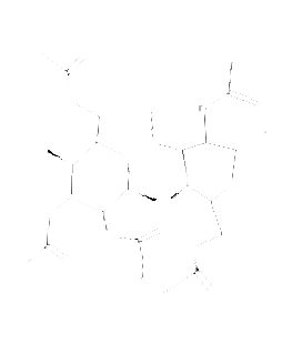 COC1C(NC(C)=O)[C@H](O)OC(COC(C)=O)[C@H]1O[C@@H]1OC(COC(C)=O)[C@H](C)C(OC(C)=O)C1OC(C)=O